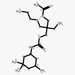 CCCOCC(CC)(COC(N)=O)COC(=O)NC1CC(C)CC(C)(C)C1